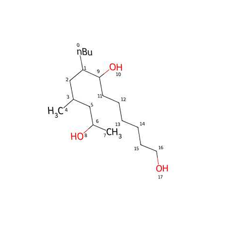 CCCCC(CC(C)CC(C)O)C(O)CCCCCCO